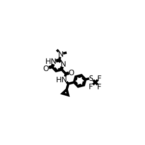 CN(C)c1nc(C(=O)NC(c2ccc(SC(F)(F)F)cc2)C2CC2)cc(=O)[nH]1